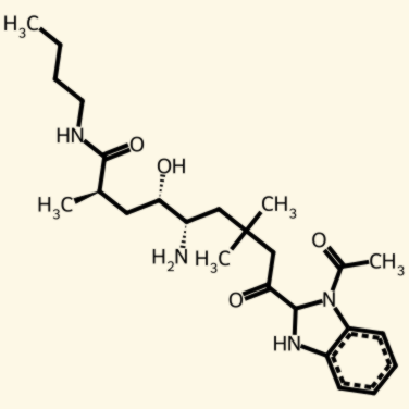 CCCCNC(=O)[C@H](C)C[C@H](O)[C@@H](N)CC(C)(C)CC(=O)C1Nc2ccccc2N1C(C)=O